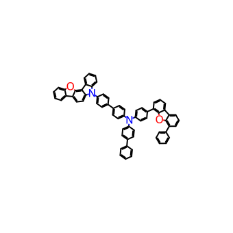 c1ccc(-c2ccc(N(c3ccc(-c4ccc(-n5c6ccccc6c6c7oc8ccccc8c7ccc65)cc4)cc3)c3ccc(-c4cccc5c4oc4c(-c6ccccc6)cccc45)cc3)cc2)cc1